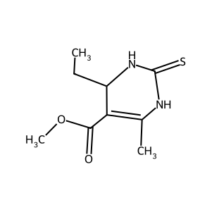 CCC1NC(=S)NC(C)=C1C(=O)OC